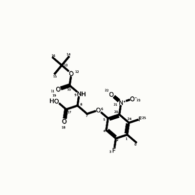 Cc1c(F)cc(OCC(NC(=O)OC(C)(C)C)C(=O)O)c([N+](=O)[O-])c1F